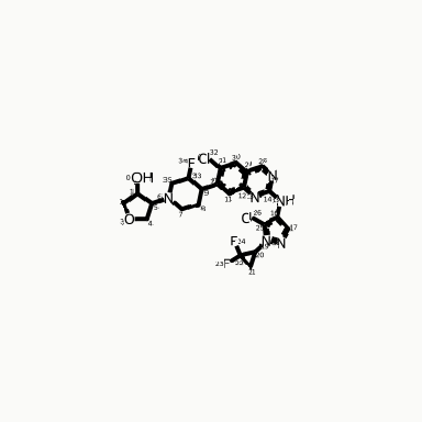 OC1COCC1N1CCC(c2cc3nc(Nc4cnn(C5CC5(F)F)c4Cl)ncc3cc2Cl)C(F)C1